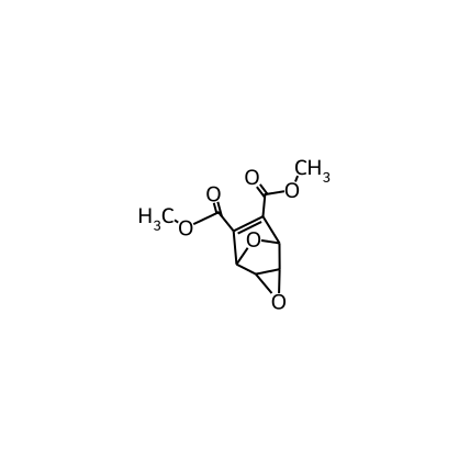 COC(=O)C1=C(C(=O)OC)C2OC1C1OC21